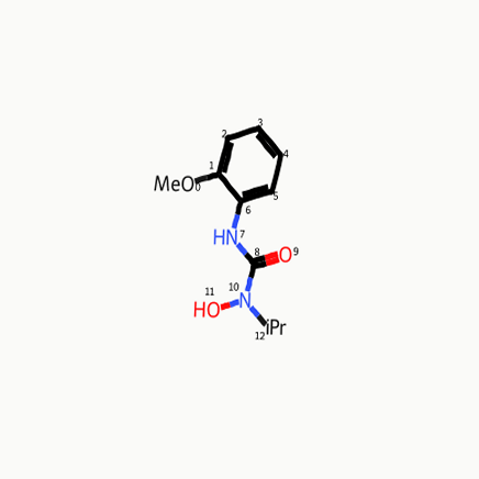 COc1ccccc1NC(=O)N(O)C(C)C